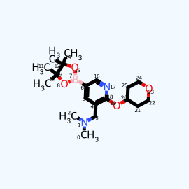 CN(C)Cc1cc(B2OC(C)(C)C(C)(C)O2)cnc1OC1CCOCC1